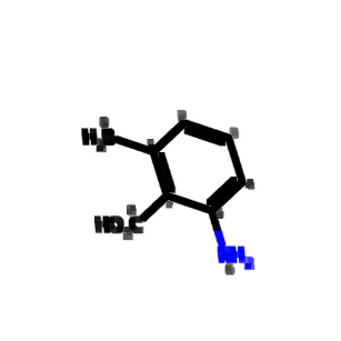 Bc1cccc(N)c1C(=O)O